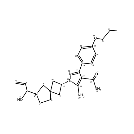 C=CC(O)N1CC[C@]2(C1)C[C@@H](n1nc(-c3ccc(OCCC)cc3)c(C(N)=O)c1N)C2